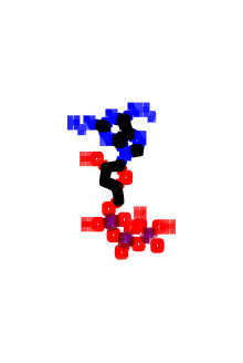 Nc1nc(N)c2ncn(C3OC(COP(=O)(O)OP(=O)(O)OP(=O)(O)O)CC3O)c2n1